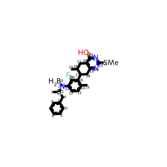 BN(B(C)Cc1ccccc1)c1ccc(C)c(C2Cc3nc(SC)nc(O)c3CC2C)c1F